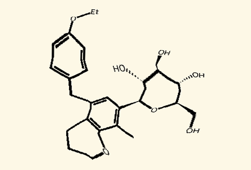 CCOc1ccc(Cc2cc([C@@H]3O[C@H](CO)[C@@H](O)[C@H](O)[C@H]3O)c(C)c3c2CCCO3)cc1